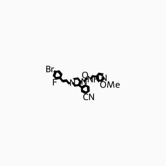 COc1cc(CNC(=O)n2c3c(c4cc(C#N)ccc42)CN(C/C=C/c2ccc(Br)cc2F)CC3)ccn1